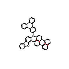 c1ccc(-c2ccc(-c3c(N(c4ccc(-c5ccccc5)cc4)c4ccc5c6ccccc6c6ccccc6c5c4)ccc4c3oc3ccccc34)cc2)cc1